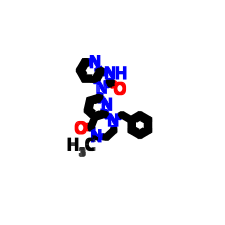 CN1CCN(Cc2ccccc2)c2nc(-n3c(=O)[nH]c4ncccc43)ccc2C1=O